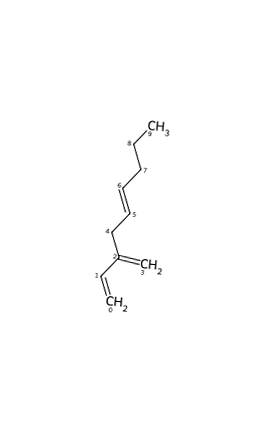 C=CC(=C)CC=CCCC